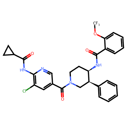 O=C(N[C@@H]1CCN(C(=O)c2cnc(NC(=O)C3CC3)c(Cl)c2)C[C@@H]1c1ccccc1)c1ccccc1OC(F)(F)F